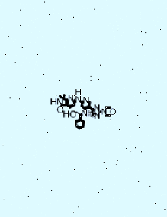 CC1(C)NC(=O)c2ccc(Nc3cc(N[C@H](CO)c4ccccc4)c(-c4nc(N5CCOCC5)no4)cn3)nc21